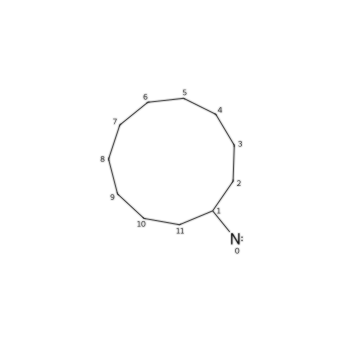 [N]C1CCCCCCCCCC1